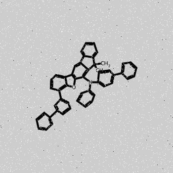 CC1(C)c2ccccc2-c2cc3c(oc4c(-c5cccc(-c6ccccc6)c5)cccc43)c(N(c3ccccc3)c3ccc(-c4ccccc4)cc3)c21